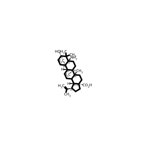 C=C(C)[C@@H]1CC[C@]2(C(=O)O)CC[C@]3(C)C(CC[C@@H]4[C@@]5(C)CC[C@H](O)C(C)(C)[C@]5(N)CC[C@]43C)[C@@H]12